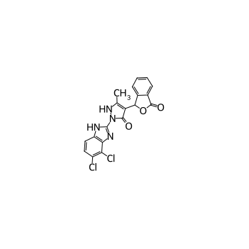 Cc1[nH]n(-c2nc3c(Cl)c(Cl)ccc3[nH]2)c(=O)c1C1OC(=O)c2ccccc21